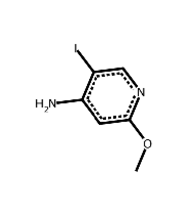 COc1cc(N)c(I)cn1